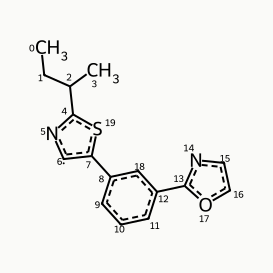 CCC(C)c1n[c]c(-c2cccc(-c3ncco3)c2)s1